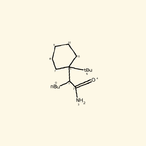 CCCCC(C(N)=O)C1(C(C)(C)C)CCCCC1